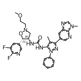 COCCN1C[C@@H](NC(=O)Nc2c(C)c(-c3cnc4c(c3)ncn4C)nn2-c2ccccc2)[C@H](c2cnc(F)c(F)c2)O1